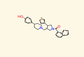 O=C(c1cccc2ccccc12)N1CC(CN2CCC(c3ccc(O)cc3)CC2)C(c2ccsc2)C1